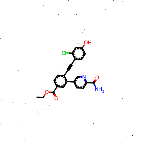 CCOC(=O)c1ccc(C#Cc2ccc(O)cc2Cl)c(-c2ccc(C(N)=O)nc2)c1